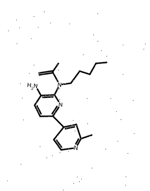 C=C(C)N(CCCCC)c1nc(-c2ccnc(C)c2)ccc1N